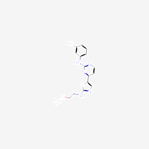 COCCNc1ncc(-c2ccnc(Nc3cccc(O)c3)n2)s1